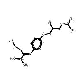 COOC(=Nc1ccc(OCC(O)CNC(C)C)cc1)N(C)C